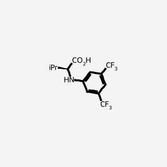 CC(C)[C@H](Nc1cc(C(F)(F)F)cc(C(F)(F)F)c1)C(=O)O